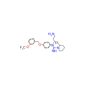 CCC1CCCCN1C(=N)N(CCCN)c1ccc(OCc2cccc(OC(F)(F)F)c2)cc1